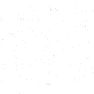 CCCCC(CC)CO[Si](CC(CN)CCN)(OCC(CC)CCCC)OCC(CC)CCCC